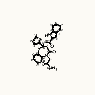 NC(=O)CN1C(=O)CC(NC(=O)c2cc3ccccc3[nH]2)(c2cccs2)Sc2ccccc21